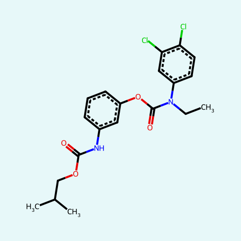 CCN(C(=O)Oc1cccc(NC(=O)OCC(C)C)c1)c1ccc(Cl)c(Cl)c1